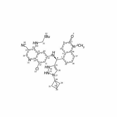 Cn1c(=O)ccc2c([C@H](Nc3cc(Cl)c4ncc(C#N)c(NCC(C)(C)C)c4c3)C3=CN(C45CC(C4)C5)NN3)cccc21